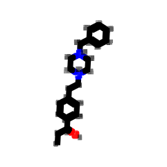 CCC(=O)c1ccc(CCN2CCN(Cc3ccccc3)CC2)cc1